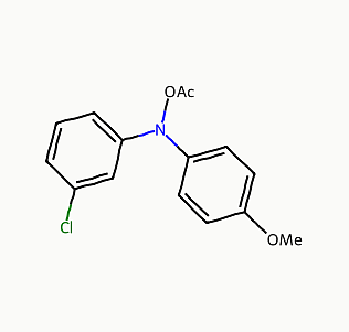 COc1ccc(N(OC(C)=O)c2cccc(Cl)c2)cc1